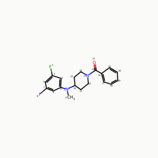 CN(c1cc(F)cc(I)c1)C1CCN(C(=O)c2ccccc2)CC1